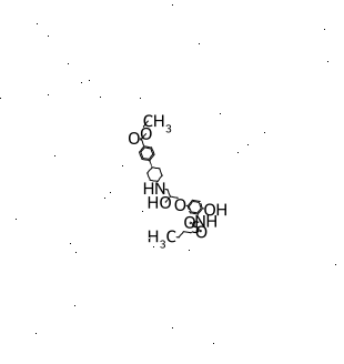 CCCCS(=O)(=O)Nc1cc(OC[C@@H](O)CN[C@H]2CC[C@H](c3ccc(C(=O)OCC)cc3)CC2)ccc1O